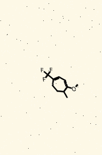 COC1=CC=C(C(F)(F)F)CCC1C